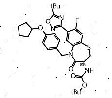 CC(C)(C)OC(=O)N[C@H]1CSc2cc(F)c(-c3noc(C(C)(C)C)n3)cc2N(Cc2ccc(OC3CCCC3)cc2)C1=O